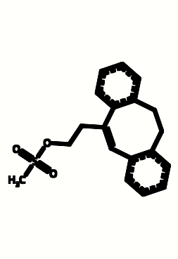 CS(=O)(=O)OCCC1=Cc2ccccc2CCc2ccccc21